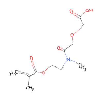 C=C(C)C(=O)OCCN(C)C(=O)COCC(=O)O